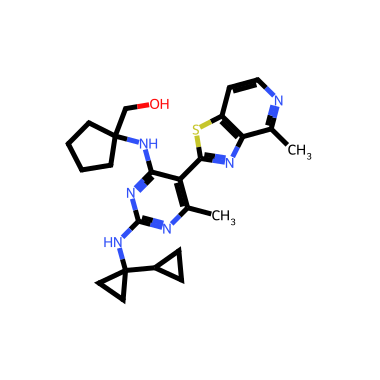 Cc1nc(NC2(C3CC3)CC2)nc(NC2(CO)CCCC2)c1-c1nc2c(C)nccc2s1